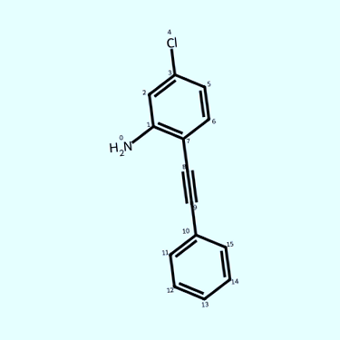 Nc1cc(Cl)ccc1C#Cc1ccccc1